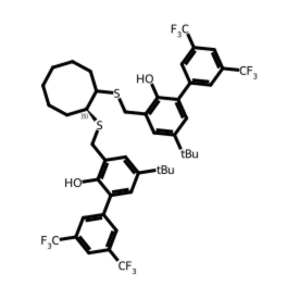 CC(C)(C)c1cc(CSC2CCCCCC[C@@H]2SCc2cc(C(C)(C)C)cc(-c3cc(C(F)(F)F)cc(C(F)(F)F)c3)c2O)c(O)c(-c2cc(C(F)(F)F)cc(C(F)(F)F)c2)c1